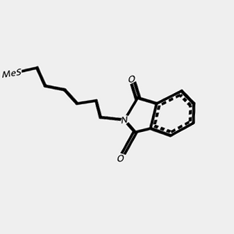 CSCCCCCCN1C(=O)c2ccccc2C1=O